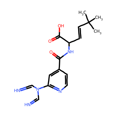 CC(C)(C)/C=C/C(NC(=O)c1ccnc(N(C=N)C=N)c1)C(=O)O